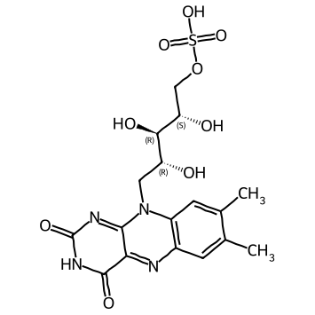 Cc1cc2nc3c(=O)[nH]c(=O)nc-3n(C[C@@H](O)[C@@H](O)[C@@H](O)COS(=O)(=O)O)c2cc1C